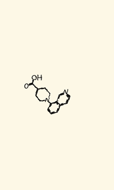 O=C(O)C1CCN(c2cccc3ccncc23)CC1